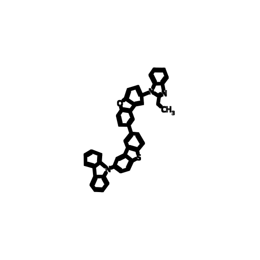 CCc1nc2ccccc2n1-c1ccc2oc3ccc(-c4ccc5sc6ccc(-n7c8ccccc8c8ccccc87)cc6c5c4)cc3c2c1